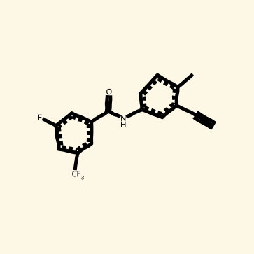 C#Cc1cc(NC(=O)c2cc(F)cc(C(F)(F)F)c2)ccc1C